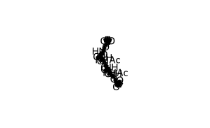 CC(=O)NC(=O)C(CC(=O)NCCOCCN1C(=O)C=CC1=O)NC(=O)CCCC(=O)NC(CC(=O)NCCOCCN1C(=O)C=CC1=O)C(=O)NC(C)=O